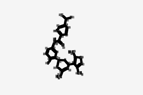 Cc1noc(C)c1[C@@H]1C[C@@H](c2cc(NC(=O)c3ccc(C(F)F)cn3)ccc2F)SC(N)=N1